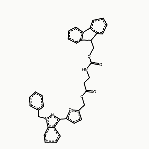 O=C(CCNC(=O)OCC1c2ccccc2-c2ccccc21)OCc1ccc(-c2nn(Cc3ccccc3)c3ccccc23)o1